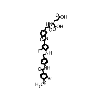 COc1ccc(C(=O)Nc2ccc(CNc3ccc(-c4nc5cc(CC(=O)N[C@@H](CCC(=O)O)C(=O)O)ccc5o4)cc3F)cc2)cc1Br